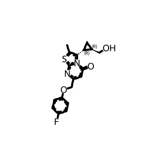 Cc1sc2nc(COc3ccc(F)cc3)cc(=O)n2c1[C@@H]1C[C@H]1CO